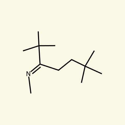 C/N=C(\CCC(C)(C)C)C(C)(C)C